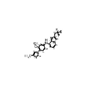 COc1cc(Nc2cccn3cc(CC(F)(F)F)nc23)ccc1-n1cnc(C)c1